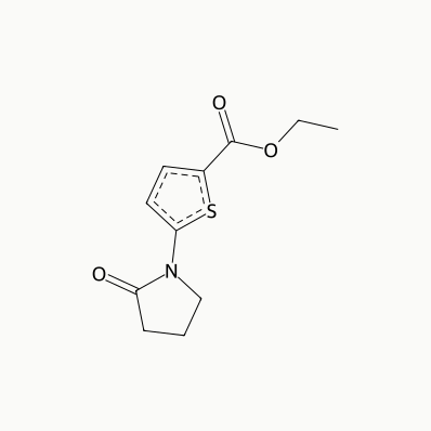 CCOC(=O)c1ccc(N2CCCC2=O)s1